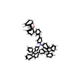 c1ccc(C2(c3ccc(N(c4ccc(-c5cccc(-c6cccc7c6oc6ccccc67)c5)cc4)c4ccc5c(c4)C(c4ccccc4)(c4ccccc4)c4ccccc4-5)cc3)c3ccccc3-c3ccccc32)cc1